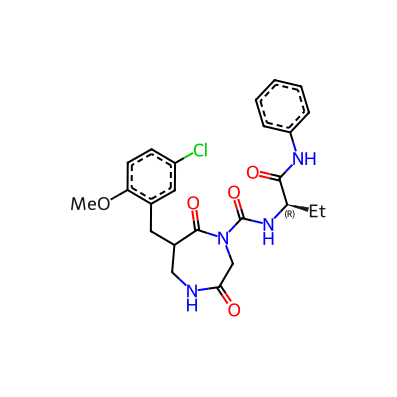 CC[C@@H](NC(=O)N1CC(=O)NCC(Cc2cc(Cl)ccc2OC)C1=O)C(=O)Nc1ccccc1